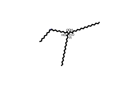 CCCCCCCC/C=C\CCCCCCCC(=O)C(O)(C(O)CCCCCCCCCCCCCCCC)C(O)C(=O)CCCCCCCCCCCCCCC